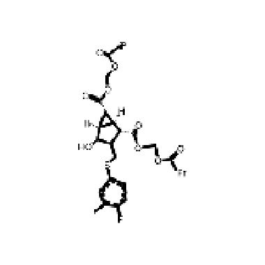 Cc1cc(SCC2[C@@H](O)[C@H]3[C@H](C(=O)OCOC(=O)C(C)C)[C@H]3[C@@H]2C(=O)OCOC(=O)C(C)C)ccc1F